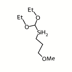 [CH2]OCCC[SiH2]C(OCC)OCC